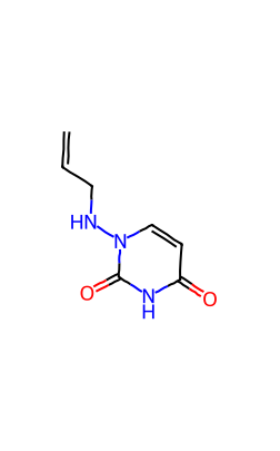 C=CCNn1ccc(=O)[nH]c1=O